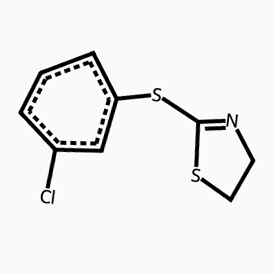 Clc1cccc(SC2=NCCS2)c1